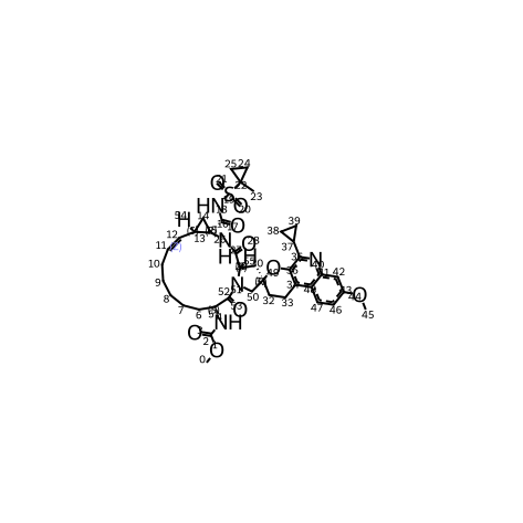 COC(=O)N[C@H]1CCCCC/C=C\[C@@H]2C[C@@]2(C(=O)NS(=O)(=O)C2(C)CC2)NC(=O)[C@@H]2C[C@]3(CCc4c(c(C5CC5)nc5cc(OC)ccc45)O3)CN2C1=O